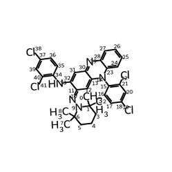 CC1(C)CCCC(C)(C)N1N=c1cc2n(-c3ccc(Cl)cc3Cl)c3ccccc3nc-2cc1Nc1ccc(Cl)cc1Cl